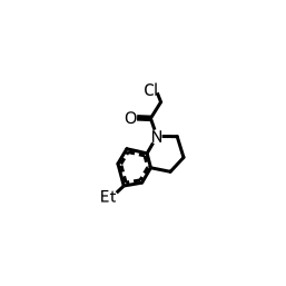 CCc1ccc2c(c1)CCCN2C(=O)CCl